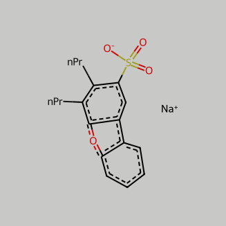 CCCc1c(S(=O)(=O)[O-])cc2c(oc3ccccc32)c1CCC.[Na+]